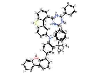 CC1(C)c2ccccc2N(c2ccc3sc4cccc(-c5nc(-c6ccccc6)nc(-c6ccccc6)n5)c4c3c2)c2ccc(-c3cccc4c3oc3ccccc34)cc21